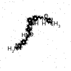 Cc1ccc(C(=O)NCCCc2ccc(-c3cccc4c(Cc5ccc(C(=O)NCCCc6ccc(-c7cnc(N)nc7)cc6)cn5)c[nH]c34)cc2)cn1